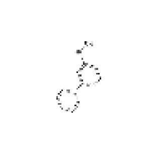 OPc1cccc(-c2ccccc2)c1